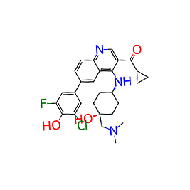 CN(C)C[C@]1(O)CC[C@@H](Nc2c(C(=O)C3CC3)cnc3ccc(-c4cc(F)c(O)c(Cl)c4)cc23)CC1